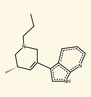 CCCN1CC(c2c[nH]c3ncccc23)=C[C@H](C)C1